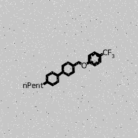 CCCCCC1CCC(C2CCC(COc3ccc(C(F)(F)F)cc3)CC2)CC1